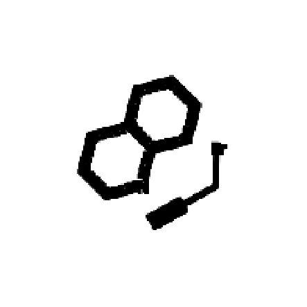 C#CCBr.c1ccc2ncccc2c1